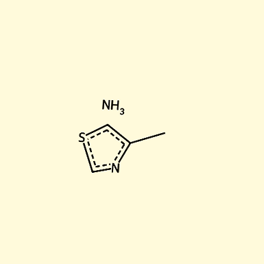 Cc1cscn1.N